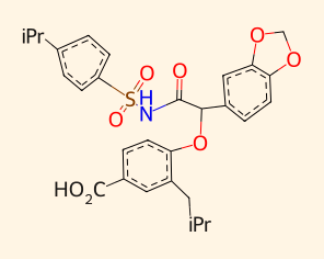 CC(C)Cc1cc(C(=O)O)ccc1OC(C(=O)NS(=O)(=O)c1ccc(C(C)C)cc1)c1ccc2c(c1)OCO2